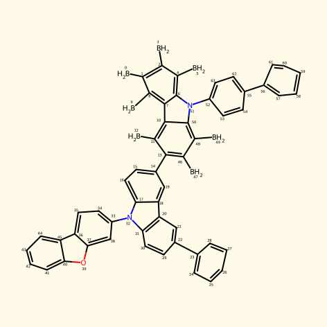 Bc1c(B)c(B)c2c(c1B)c1c(B)c(-c3ccc4c(c3)c3cc(-c5ccccc5)ccc3n4-c3ccc4c(c3)oc3ccccc34)c(B)c(B)c1n2-c1ccc(-c2ccccc2)cc1